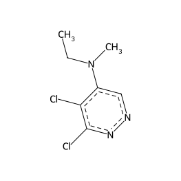 CCN(C)c1cnnc(Cl)c1Cl